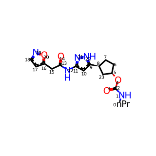 CCCNC(=O)O[C@@H]1CC[C@H](c2cc(NC(=O)Cc3ccno3)n[nH]2)C1